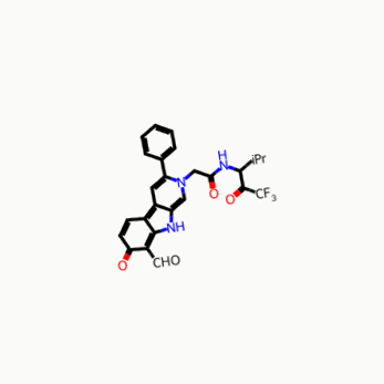 CC(C)C(NC(=O)Cn1cc2[nH]c3c(C=O)c(=O)ccc3c2cc1-c1ccccc1)C(=O)C(F)(F)F